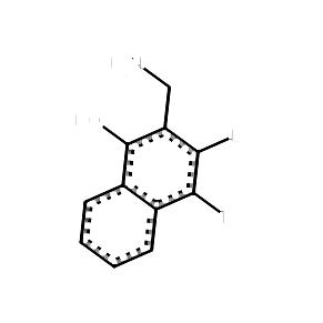 CCc1c(CN)c(O)c2ccccc2c1CC